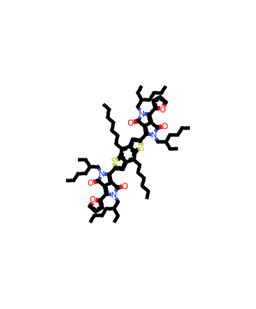 CCCCCCCc1c2cc(C3=C4C(=O)N(CC(CC)CCCC)C(c5ccco5)=C4C(=O)N3CC(CC)CCCC)sc2c(CCCCCC)c2cc(C3=C4C(=O)N(CC(CC)CCCC)C(c5ccco5)=C4C(=O)N3CC(CC)CCCC)sc12